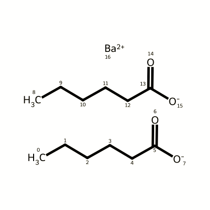 CCCCCC(=O)[O-].CCCCCC(=O)[O-].[Ba+2]